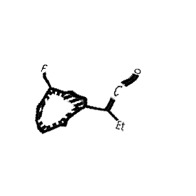 CCC(=C=O)c1cccc(F)c1